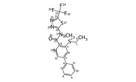 CCSc1cc(-c2ccccc2)cnc1C(=O)N(C)c1nnc(C(F)(F)F)s1